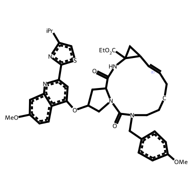 CCOC(=O)C12CC1/C=C/CCCCN(Cc1ccc(OC)cc1)C(=O)N1CC(Oc3cc(-c4nc(C(C)C)cs4)nc4cc(OC)ccc34)CC1C(=O)N2